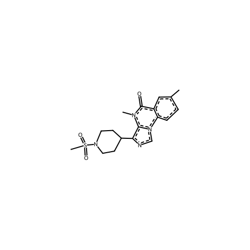 Cc1ccc2c(c1)c(=O)n(C)c1c(C3CCN(S(C)(=O)=O)CC3)ncn21